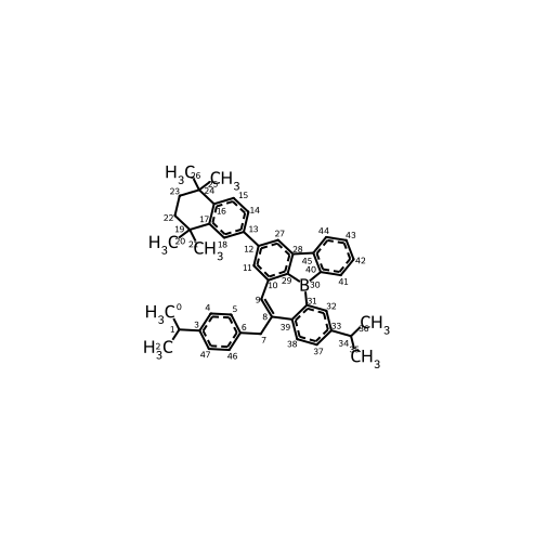 CC(C)c1ccc(CC2=Cc3cc(-c4ccc5c(c4)C(C)(C)CCC5(C)C)cc4c3B(c3cc(C(C)C)ccc32)c2ccccc2-4)cc1